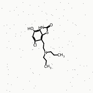 CCCN(CCC)CCc1c(Cl)cc(O)c2[nH]c(=O)sc12